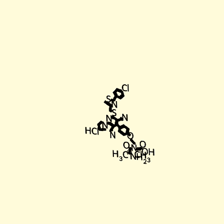 C[C@H](N)C(=O)N(CCOc1ccc(-c2c(C#N)c(SCc3csc(-c4ccc(Cl)cc4)n3)nc(N3CCCC3)c2C#N)cc1)[C@@H](C)C(=O)O.Cl